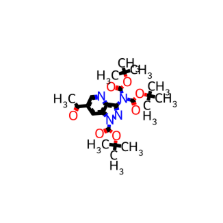 CC(=O)c1cnc2c(N(C(=O)OC(C)(C)C)C(=O)OC(C)(C)C)nn(C(=O)OC(C)(C)C)c2c1